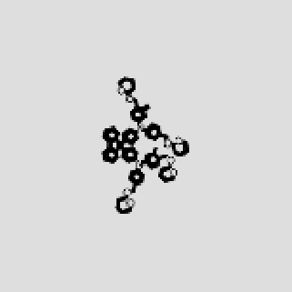 Cc1cc(N(c2ccc(COC3CCCCO3)cc2)c2ccc(C3(c4ccc(N(c5ccc(COC6CCCCO6)cc5)c5ccc(COC6CCCCO6)c(C)c5)cc4)c4ccccc4-c4ccccc43)cc2)ccc1COC1CCCCO1